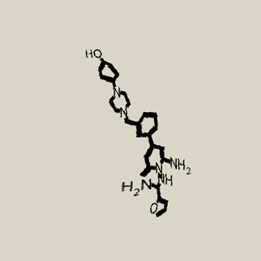 C=C1C=C(c2cccc(CN3CCN(c4ccc(O)cc4)CC3)c2)C=C(N)N1NC(N)c1ccco1